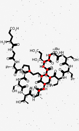 CC[C@H](C)[C@H](NC(=O)[C@H](C)NC(=O)[C@@H](NC(=O)[C@H](CO)NC(=O)[C@@H]1CCCN1C(=O)[C@@H](NC(=O)CNC(=O)[C@@H](N)CCC(=O)O)C(C)C)[C@@H](C)O)C(=O)N[C@@H](CCCN=C(N)N)C(=O)N[C@@H](CCC(=O)O)C(=O)N[C@H](C(=O)N[C@@H](CO)C(=O)N[C@@H](CC(C)C)C(=O)N[C@@H](CC(C)C)C(=O)N[C@@H](CCCCN)C(=O)N[C@@H](CCC(=O)O)C(=O)O)[C@@H](C)CC